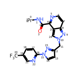 CC(C)NC(=O)c1nccc2nn(Cc3ccn(-c4ccc(C(F)(F)F)cn4)n3)cc12